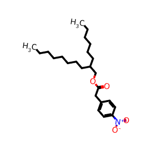 CCCCCCCCC(CCCCCC)COC(=O)Cc1ccc([N+](=O)[O-])cc1